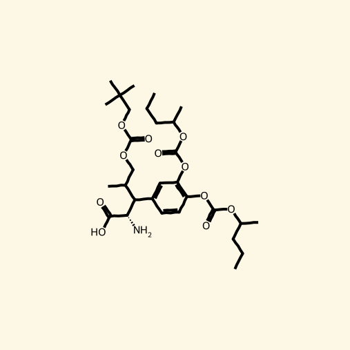 CCCC(C)OC(=O)Oc1ccc(C(C(C)COC(=O)OCC(C)(C)C)[C@H](N)C(=O)O)cc1OC(=O)OC(C)CCC